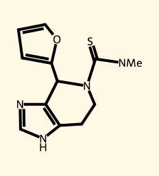 CNC(=S)N1CCc2[nH]cnc2C1c1ccco1